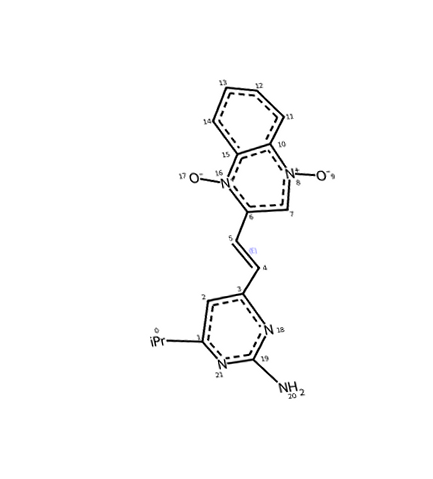 CC(C)c1cc(/C=C/c2c[n+]([O-])c3ccccc3[n+]2[O-])nc(N)n1